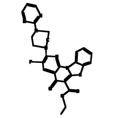 CCOC(=O)c1c(=O)c2cc(F)c(N3CCN(c4ncccn4)CC3)nc2n2c1sc1ccccc12